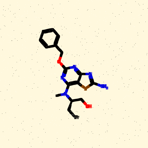 CC(C)C[C@H](CO)N(C)c1nc(OCc2ccccc2)nc2nc(N)sc12